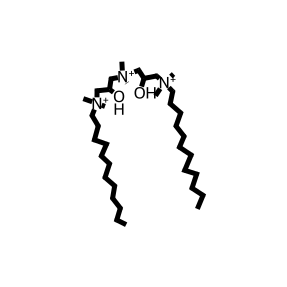 CCCCCCCCCCCC[N+](C)(C)CC(O)C[N+](C)(C)CC(O)C[N+](C)(C)CCCCCCCCCCCC